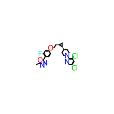 Cc1nnc(-c2ccc(OCC[C@H]3C[C@H]3C3CCN(c4ncc(Cl)cc4Cl)CC3)cc2F)o1